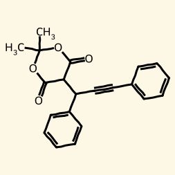 CC1(C)OC(=O)C(C(C#Cc2ccccc2)c2ccccc2)C(=O)O1